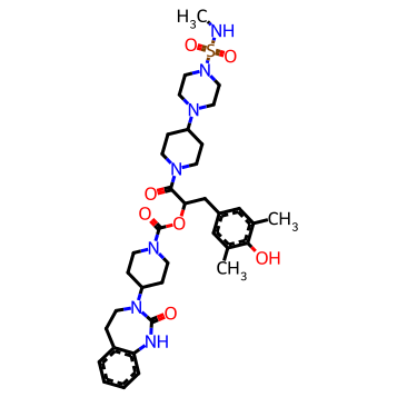 CNS(=O)(=O)N1CCN(C2CCN(C(=O)C(Cc3cc(C)c(O)c(C)c3)OC(=O)N3CCC(N4CCc5ccccc5NC4=O)CC3)CC2)CC1